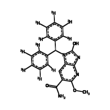 [2H]c1c([2H])c([2H])c(C(c2c([2H])c([2H])c([2H])c([2H])c2[2H])n2c(O)nc3nc(OC)c(C(N)=O)cc32)c([2H])c1[2H]